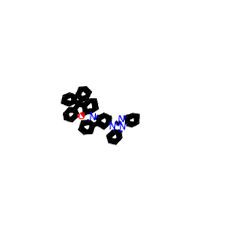 c1ccc(C2(c3ccccc3)c3ccccc3Oc3c(-n4c5ccccc5c5cc(-n6c7ccccc7n7c8ccccc8nc67)ccc54)cccc32)cc1